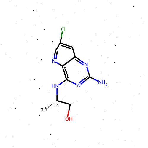 CCC[C@@H](CO)Nc1nc(N)nc2cc(Cl)cnc12